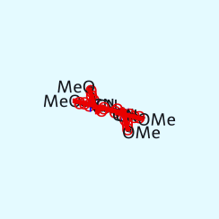 COCCOCCOCCOCCN(CCOCCOCCOCCOC)C1=C(C#N)/C(=C(\C#N)C(=O)OCCCCCCOC(=O)/C(C#N)=C2\CC(C)(C)CC(N(CCOCCOCCOCCOC)CCOCCOCCOCOC)=C2C#N)CC(C)(C)C1